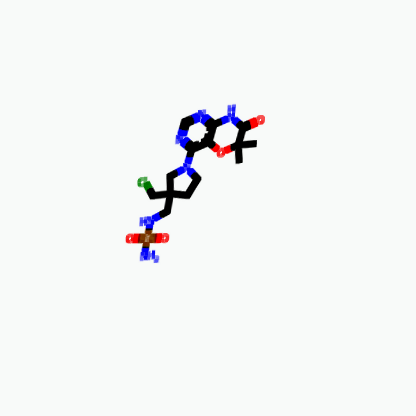 CC1(C)Oc2c(ncnc2N2CCC(CCl)(CNS(N)(=O)=O)C2)NC1=O